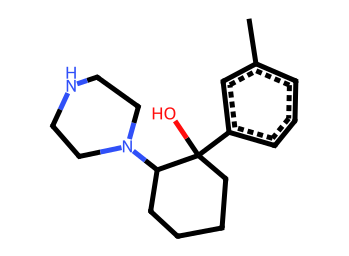 Cc1cccc(C2(O)CCCCC2N2CCNCC2)c1